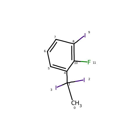 CC(I)(I)c1cccc(I)c1F